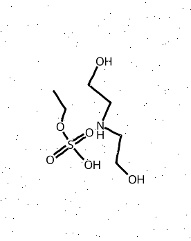 CCOS(=O)(=O)O.OCCNCCO